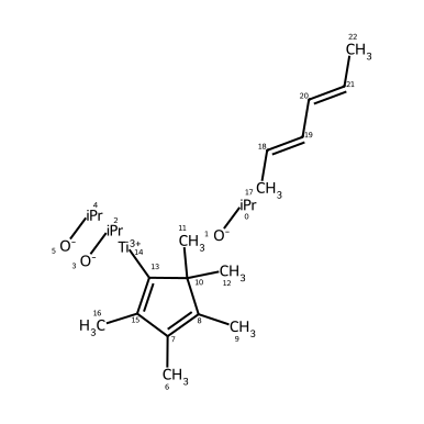 CC(C)[O-].CC(C)[O-].CC(C)[O-].CC1=C(C)C(C)(C)[C]([Ti+3])=C1C.CC=CC=CC